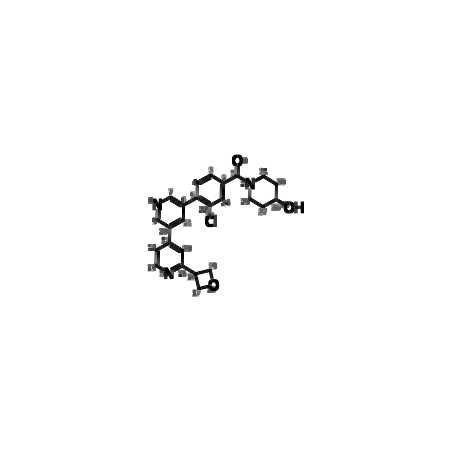 O=C(c1ccc(-c2cncc(-c3ccnc(C4COC4)c3)c2)c(Cl)c1)N1CCC(O)CC1